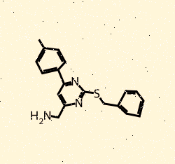 Cc1ccc(-c2cc(CN)nc(SCc3ccccc3)n2)cc1